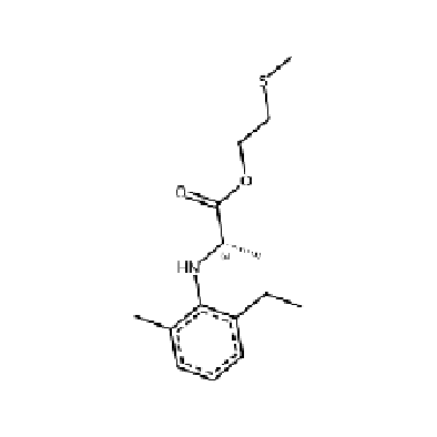 CCc1cccc(C)c1N[C@@H](C)C(=O)OCCSC